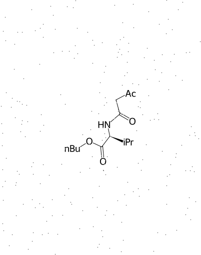 CCCCOC(=O)[C@@H](NC(=O)CC(C)=O)C(C)C